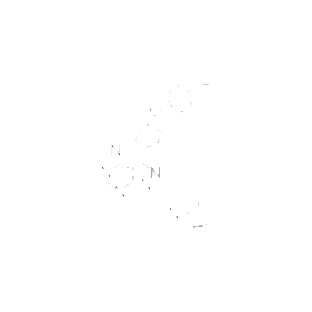 C=CC(=O)N1CCC[C@H](n2nc(-c3ccc(Oc4ccc(F)cc4)cc3)c3c(N)ncnc32)C1